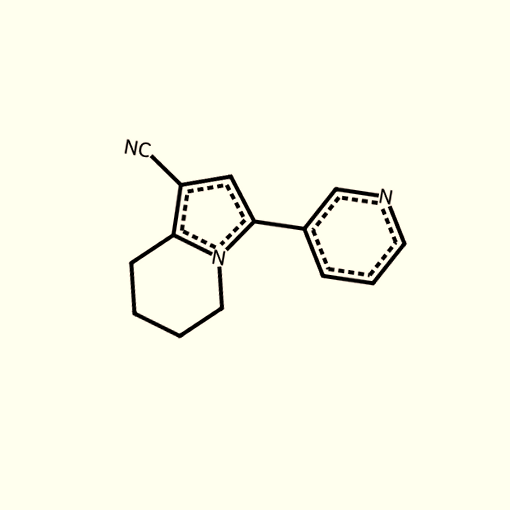 N#Cc1cc(-c2cccnc2)n2c1CCCC2